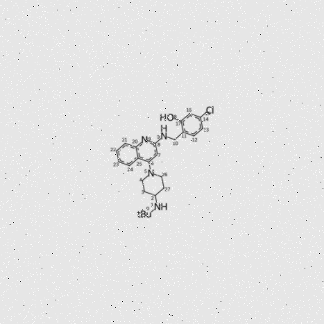 CC(C)(C)NC1CCN(c2cc(NCc3ccc(Cl)cc3O)nc3ccccc23)CC1